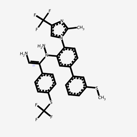 CSc1cccc(-c2ccc(-n3cc(C(F)(F)F)nc3C)c(N(N)/C(=C\N)c3ccc(SC(F)(F)F)cc3)c2)c1